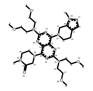 COCCN(CCOC)c1nc(N2CCc3cnn(C)c3C2)c2nc(N(CCOC)CCOC)nc(N3CCN(C)C(=O)C3)c2n1